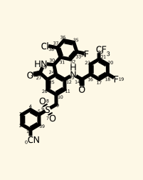 N#Cc1cccc(S(=O)(=O)Cc2cc(NC(=O)c3cc(F)cc(C(F)(F)F)c3)c3c(c2)C(=O)NC3c2cc(F)ccc2Cl)c1